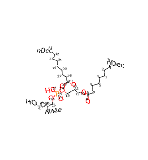 CCCCCCCCCCCCCCCCCC(=O)OCC(COP(=O)(O)OCC(NC)C(=O)O)OC(=O)CCCCCCCCCCCCCCCCC